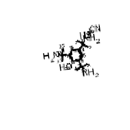 CC(C)(N)c1cc(C(C)(C)N)c(O)c(C(C)(C)N)c1.N#CS